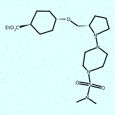 CCOC(=O)[C@H]1CC[C@H](OC[C@@H]2CCCN2N2CCN(S(=O)(=O)N(C)C)CC2)CC1